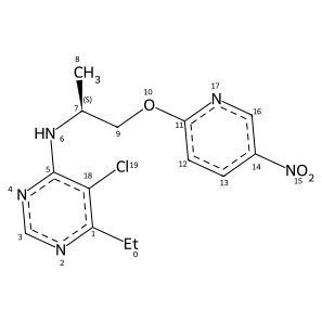 CCc1ncnc(N[C@@H](C)COc2ccc([N+](=O)[O-])cn2)c1Cl